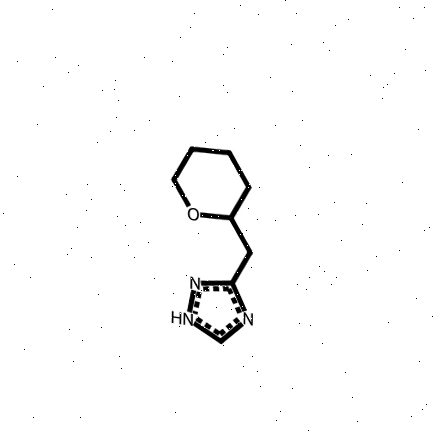 c1nc(CC2CCCCO2)n[nH]1